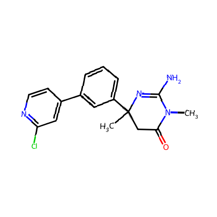 CN1C(=O)CC(C)(c2cccc(-c3ccnc(Cl)c3)c2)N=C1N